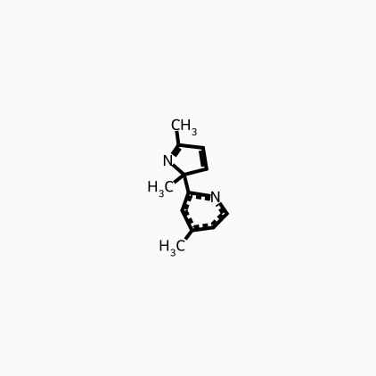 CC1=NC(C)(c2cc(C)ccn2)C=C1